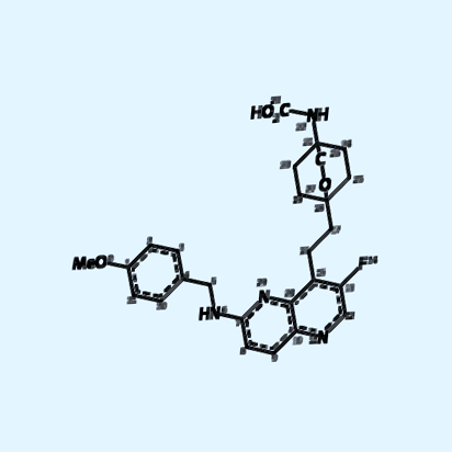 COc1ccc(CNc2ccc3ncc(F)c(CCC45CCC(NC(=O)O)(CC4)CO5)c3n2)cc1